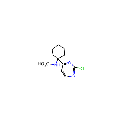 O=C(O)NC1(c2ccnc(Cl)n2)CCCCC1